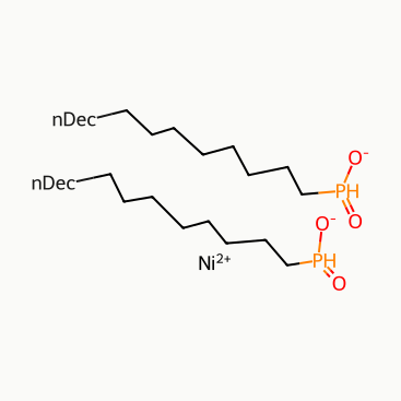 CCCCCCCCCCCCCCCCCC[PH](=O)[O-].CCCCCCCCCCCCCCCCCC[PH](=O)[O-].[Ni+2]